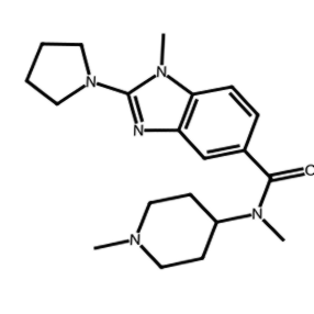 CN1CCC(N(C)C(=O)c2ccc3c(c2)nc(N2CCCC2)n3C)CC1